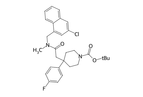 CN(Cc1cc(Cl)cc2ccccc12)C(=O)CC1(c2ccc(F)cc2)CCN(C(=O)OC(C)(C)C)CC1